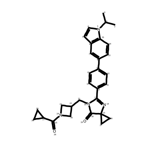 CC(C)n1ccc2cc(-c3ccc(C4=NC5(CC5)C(=O)N4CC4CN(C(=O)C5CC5)C4)cc3)ccc21